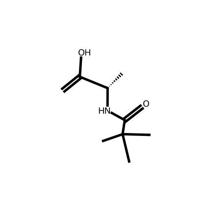 C=C(O)[C@H](C)NC(=O)C(C)(C)C